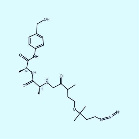 CC(CCOC(C)(C)CCN=[N+]=[N-])C(=O)CN[C@@H](C)C(=O)N[C@@H](C)C(=O)Nc1ccc(CO)cc1